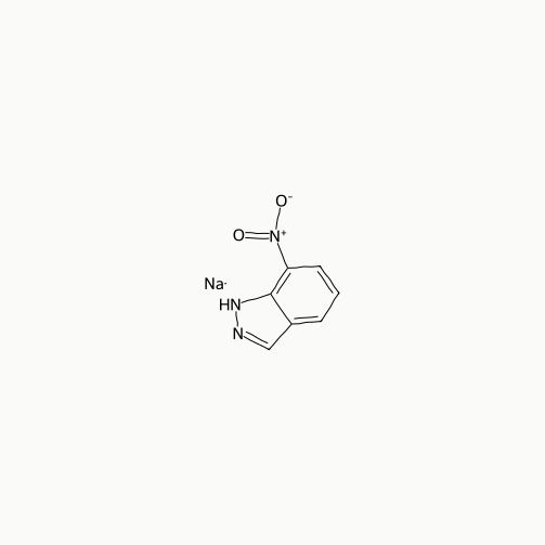 O=[N+]([O-])c1cccc2cn[nH]c12.[Na]